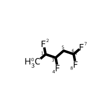 CC(F)C(F)C[C](F)F